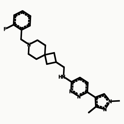 Cc1nn(C)cc1-c1ccc(NCC2CC3(CCN(Cc4ccccc4F)CC3)C2)nn1